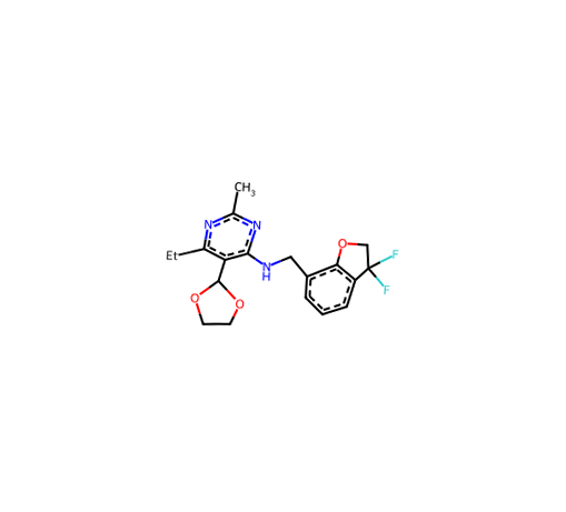 CCc1nc(C)nc(NCc2cccc3c2OCC3(F)F)c1C1OCCO1